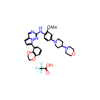 COc1cc(N2CCC(N3CCOCC3)CC2)ccc1Nc1ncc2ccc(-c3cccc4c3OCCO4)n2n1.O=C(O)C(F)(F)F